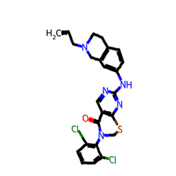 C=CCN1CCc2ccc(Nc3ncc4c(n3)SCN(c3c(Cl)cccc3Cl)C4=O)cc2C1